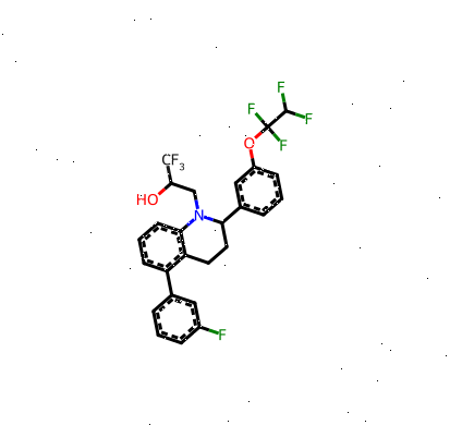 OC(CN1c2cccc(-c3cccc(F)c3)c2CCC1c1cccc(OC(F)(F)C(F)F)c1)C(F)(F)F